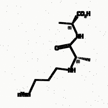 CCCCCCCCCCCCN[C@@H](C)C(=O)N[C@@H](C)C(=O)O